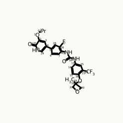 CC(C)Oc1cc(-c2ccc(NC(=O)Nc3ccc(OC4(C)COC4)c(C(F)(F)F)c3)c(F)c2)c[nH]c1=O